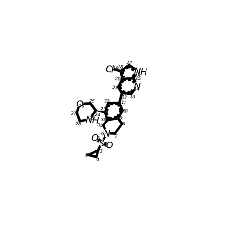 O=S(=O)(C1CC1)N1CCc2cc(-c3cnc4[nH]cc(Cl)c4c3)cc([C@@H]3COCCN3)c2C1